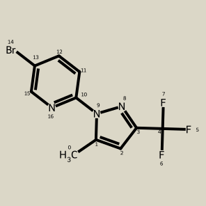 Cc1cc(C(F)(F)F)nn1-c1ccc(Br)cn1